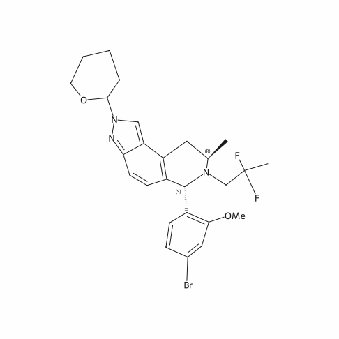 COc1cc(Br)ccc1[C@@H]1c2ccc3nn(C4CCCCO4)cc3c2C[C@@H](C)N1CC(C)(F)F